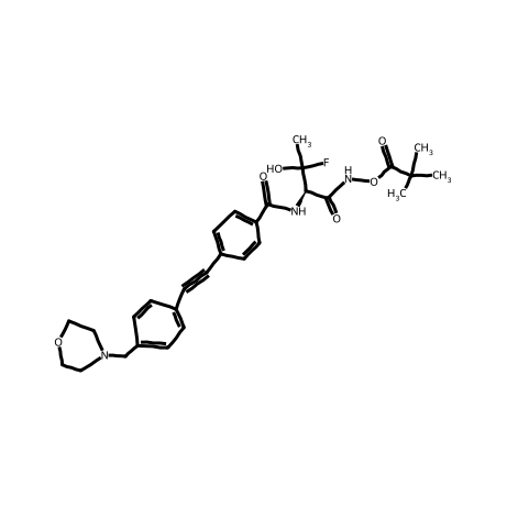 CC(C)(C)C(=O)ONC(=O)[C@@H](NC(=O)c1ccc(C#Cc2ccc(CN3CCOCC3)cc2)cc1)C(C)(O)F